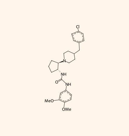 COc1ccc(NC(=O)N[C@@H]2CCC[C@H]2N2CCC(Cc3ccc(Cl)cc3)CC2)cc1OC